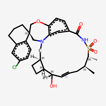 CC(C)[C@]1(O)/C=C/C[C@H](C)[C@@H](C)S(=O)(=O)NC(=O)c2ccc3c(c2)N(C[C@@H]2CC[C@H]21)C[C@@]1(CCCc2cc(Cl)ccc21)CO3